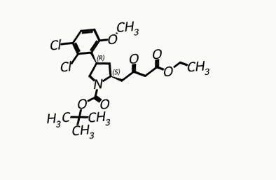 CCOC(=O)CC(=O)C[C@@H]1C[C@H](c2c(OC)ccc(Cl)c2Cl)CN1C(=O)OC(C)(C)C